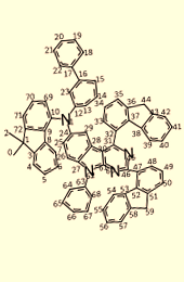 CC1(C)c2ccccc2-c2c(N(c3cccc(-c4ccccc4)c3)c3ccc4c(c3)c3c(-c5cccc6c5-c5ccccc5C6)nc(-c5cccc6c5-c5ccccc5C6)nc3n4-c3ccccc3)cccc21